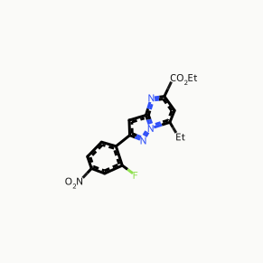 CCOC(=O)c1cc(CC)n2nc(-c3ccc([N+](=O)[O-])cc3F)cc2n1